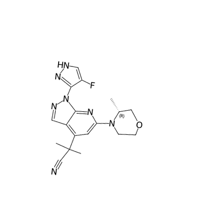 C[C@@H]1COCCN1c1cc(C(C)(C)C#N)c2cnn(-c3n[nH]cc3F)c2n1